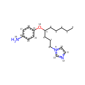 CCCCCC(CCCn1ccnc1)Oc1ccc(N)cc1